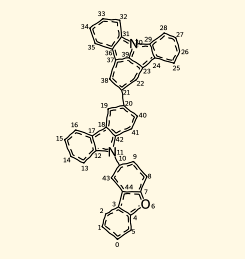 c1ccc2c(c1)oc1ccc(-n3c4ccccc4c4cc(-c5cc6c7ccccc7n7c8ccccc8c(c5)c67)ccc43)cc12